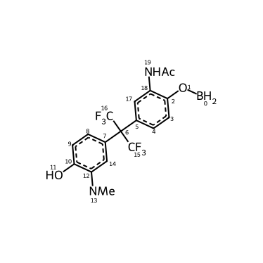 BOc1ccc(C(c2ccc(O)c(NC)c2)(C(F)(F)F)C(F)(F)F)cc1NC(C)=O